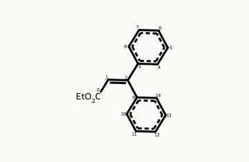 CCOC(=O)[C]=C(c1ccccc1)c1ccccc1